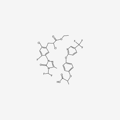 CC(Oc1ccc(Oc2ccc(C(F)(F)F)cn2)cc1)C(=O)O.CCOC(=O)C(Cl)Cc1cc(-n2nc(C)n(C(F)F)c2=O)c(F)cc1Cl